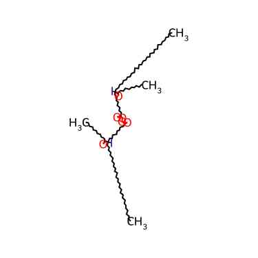 CCCCCCCCCCCCCCCCCCCCCCCCCCCCCCC(I)(CCCCCCCCC(=O)OOC(=O)CCCCCCCCC(I)(CCCCCCCCCCCCCCCCCCCCCCCCCCCCCC)C(=O)CCCCCCCCCC)C(=O)CCCCCCCCCC